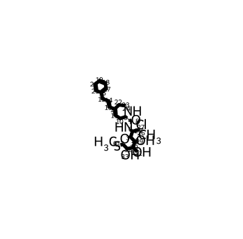 CSC1O[C@H]([C@H](NC(=O)[C@@H]2CC=C(/C=C/Cc3ccccc3)CCN2)[C@H](C)Cl)[C@@H](O)C(O)[C@H]1O